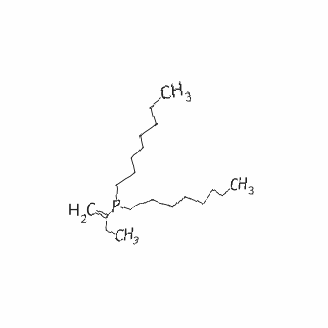 C=C(CC)P(CCCCCCCC)CCCCCCCC